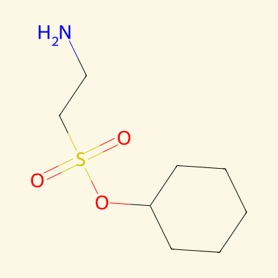 NCCS(=O)(=O)OC1CCCCC1